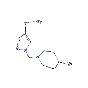 CC(C)Cc1cnn(CN2CCC(C(C)C)CC2)c1